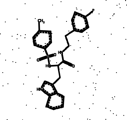 Cc1ccc(S(=O)(=O)NC(Cc2c[nH]c3ccccc23)C(=O)NCCc2ccc(F)cc2)cc1